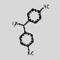 [C-]#[N+]c1ccc(C(N)c2ccc([N+]#[C-])cc2)cc1